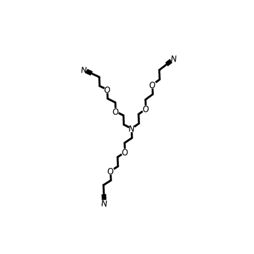 N#CCCOCCOCCN(CCOCCOCCC#N)CCOCCOCCC#N